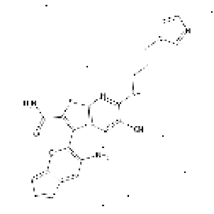 N#Cc1cc2c(-c3oc4cccc-4cc3N)c(C(N)=O)sc2nc1NCCCn1ccnc1